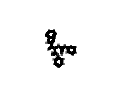 CC(c1cc2ccccc2s1)N(OC(=O)Oc1ccccc1)C(=O)Oc1ccccc1